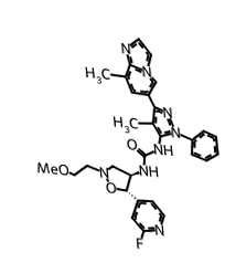 COCCN1C[C@@H](NC(=O)Nc2c(C)c(-c3cc(C)c4nccn4c3)nn2-c2ccccc2)[C@H](c2ccnc(F)c2)O1